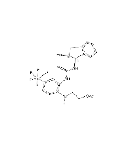 CC(=O)OCCN(C)c1ccc(S(F)(F)(F)(F)F)cc1NC(=O)N[C@@H]1c2ccccc2C[C@@H]1O